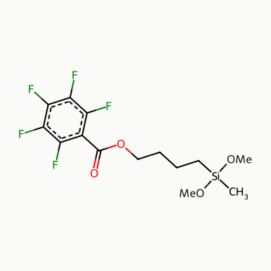 CO[Si](C)(CCCCOC(=O)c1c(F)c(F)c(F)c(F)c1F)OC